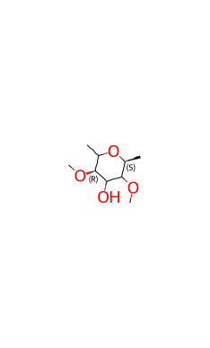 COC1C(O)[C@@H](OC)C(C)O[C@H]1C